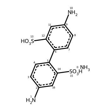 N.Nc1ccc(-c2ccc(N)cc2S(=O)(=O)O)c(S(=O)(=O)O)c1